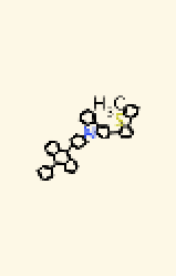 Cc1cccc2c1sc1c(-c3ccc4c(c3)c3ccccc3n4-c3ccc(-c4c5ccccc5c(-c5ccccc5)c5ccccc45)cc3)cccc12